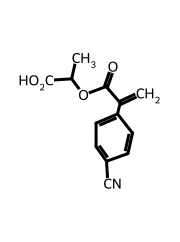 C=C(C(=O)OC(C)C(=O)O)c1ccc(C#N)cc1